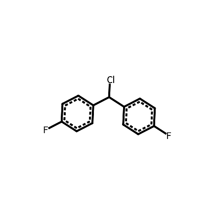 Fc1ccc(C(Cl)c2ccc(F)cc2)cc1